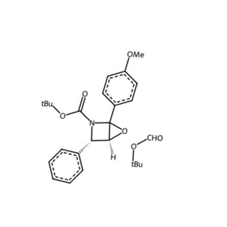 CC(C)(C)OC=O.COc1ccc(C23O[C@H]2[C@H](c2ccccc2)N3C(=O)OC(C)(C)C)cc1